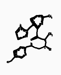 CC[C@@H](CNc1ccc(Cl)cn1)N(C)C(=O)c1nc(C)ccc1-n1nccn1